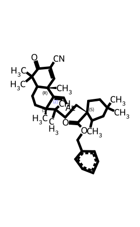 CC(=O)/C=C1/[C@@]2(C)C=C(C#N)C(=O)C(C)(C)C2CC[C@@]1(C)C(C)(C)CC[C@@]1(C(=O)OCc2ccccc2)CCC(C)(C)CC1C